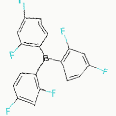 Fc1ccc(B(c2ccc(F)cc2F)c2ccc(F)cc2F)c(F)c1